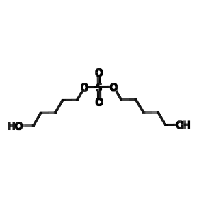 O=S(=O)(OCCCCCO)OCCCCCO